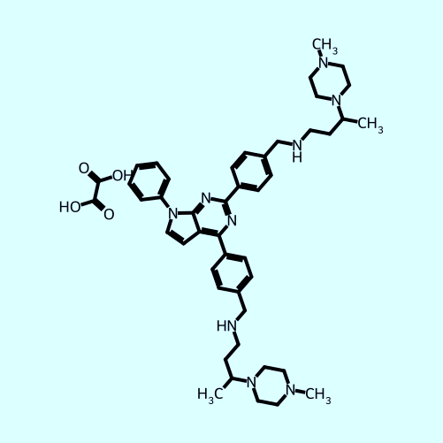 CC(CCNCc1ccc(-c2nc(-c3ccc(CNCCC(C)N4CCN(C)CC4)cc3)c3ccn(-c4ccccc4)c3n2)cc1)N1CCN(C)CC1.O=C(O)C(=O)O